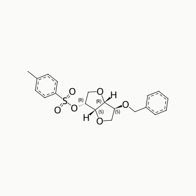 Cc1ccc(S(=O)(=O)O[C@@H]2CO[C@H]3[C@@H]2OC[C@@H]3OCc2ccccc2)cc1